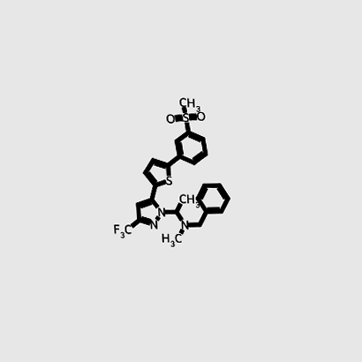 CC(N(C)Cc1ccccc1)n1nc(C(F)(F)F)cc1-c1ccc(-c2cccc(S(C)(=O)=O)c2)s1